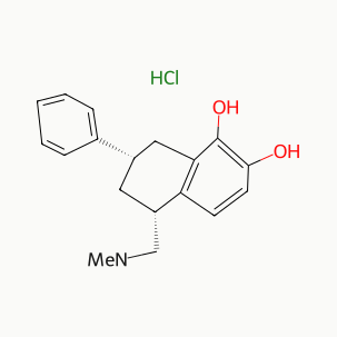 CNC[C@@H]1C[C@H](c2ccccc2)Cc2c1ccc(O)c2O.Cl